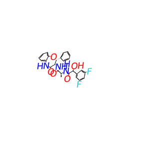 C[C@H](NC(=O)[C@@H](O)c1cc(F)cc(F)c1)C(=O)N[C@@H]1C(=O)Nc2ccccc2O[C@@H]1c1ccccc1